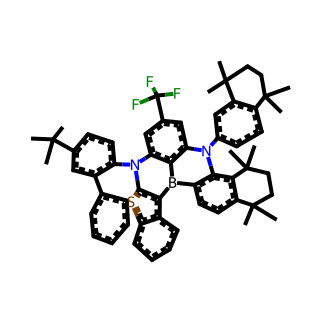 CC(C)(C)c1ccc(N2c3cc(C(F)(F)F)cc4c3B(c3ccc5c(c3N4c3ccc4c(c3)C(C)(C)CCC4(C)C)C(C)(C)CCC5(C)C)c3c2sc2ccccc32)c(-c2ccccc2)c1